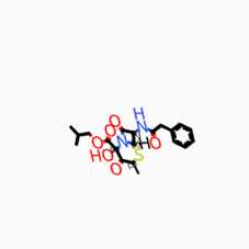 CC(C)COC(=O)[C@]1(O)C(=O)[C@H](C)S[C@@H]2[C@H](NC(=O)Cc3ccccc3)C(=O)N21